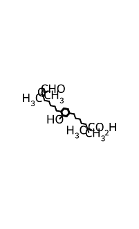 CC(C)(CCCCCc1ccc(CCCCCC(C)(C)C(=O)O)cc1O)OC=O